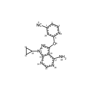 N#Cc1ccnc(Oc2nn(C3CC3)c3ncnc(N)c23)c1